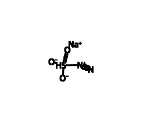 N#[N+][SH](=O)([O-])[O-].[Na+]